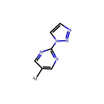 [2H]c1cnc(-n2ccnn2)nc1